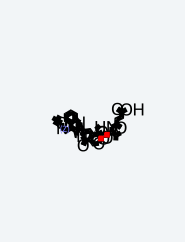 CC[C@@]1(OC(=O)C(NC(=O)CCC(=O)O)C(C)C)C(=O)OCc2c1cc1n(c2=O)Cc2c-1nc1ccccc1c2/C=N\OC(C)(C)C